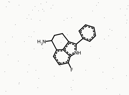 NC1CCc2c(-c3ccccc3)[nH]c3c(F)ccc1c23